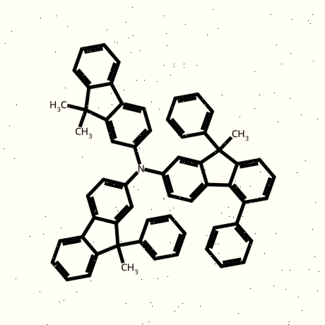 CC1(C)c2ccccc2-c2ccc(N(c3ccc4c(c3)C(C)(c3ccccc3)c3ccccc3-4)c3ccc4c(c3)C(C)(c3ccccc3)c3cccc(-c5ccccc5)c3-4)cc21